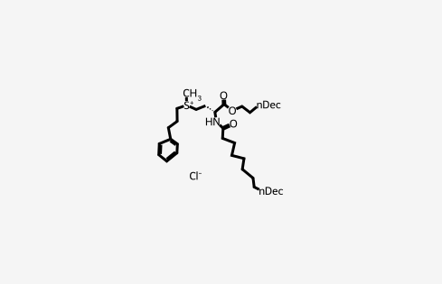 CCCCCCCCCCCCCCCCCC(=O)N[C@H](CC[S+](C)CCCc1ccccc1)C(=O)OCCCCCCCCCCCC.[Cl-]